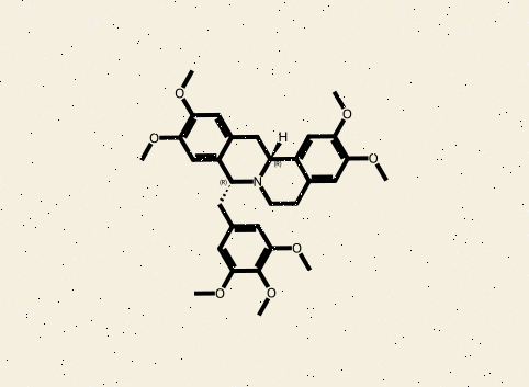 COc1cc2c(cc1OC)[C@@H](Cc1cc(OC)c(OC)c(OC)c1)N1CCc3cc(OC)c(OC)cc3[C@H]1C2